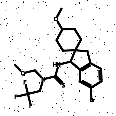 COCN(CC(F)(F)F)C(=S)NC1c2cc(Br)ccc2CC12CCC(OC)CC2